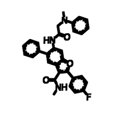 CNC(=O)c1c(-c2ccc(F)cc2)oc2cc(NC(=O)CN(C)c3ccccc3)c(-c3ccccc3)cc12